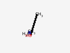 CCCCCCCCCCCCCCCCC(CO)N(C)C